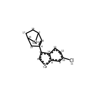 CN1C2C=C(c3csc4cc(Cl)ccc34)CC1CC2